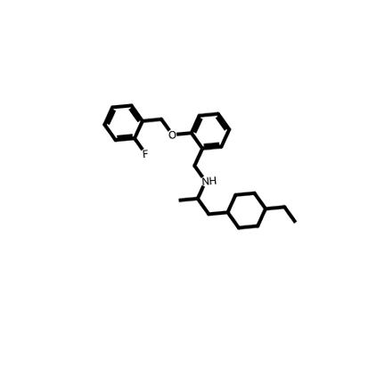 CCC1CCC(CC(C)NCc2ccccc2OCc2ccccc2F)CC1